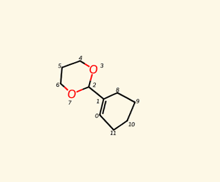 C1=C(C2OCCCO2)CCCC1